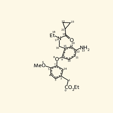 CCOC(=O)Cc1ccc(OC)c(Oc2ccc(N)cc2CN(CC)C(=O)C2CC2)c1